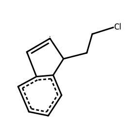 ClCCC1[C]=Cc2ccccc21